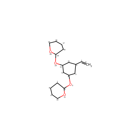 C=CC1CC(OC2CCCCO2)CC(OC2CCCCO2)C1